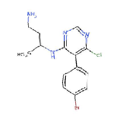 NCCC(Nc1ncnc(Cl)c1-c1ccc(Br)cc1)S(=O)(=O)O